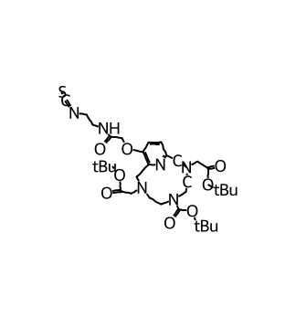 CC(C)(C)OC(=O)CN1CCN(C(=O)OC(C)(C)C)CCN(CC(=O)OC(C)(C)C)Cc2nc(ccc2OCC(=O)NCCN=C=S)C1